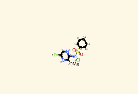 COc1nc(F)cnc1N(Cl)S(=O)(=O)c1ccccc1